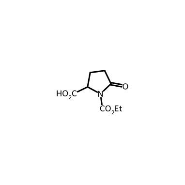 CCOC(=O)N1C(=O)CCC1C(=O)O